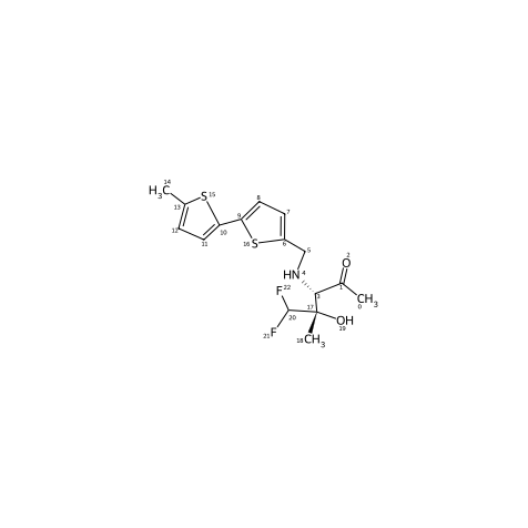 CC(=O)[C@@H](NCc1ccc(-c2ccc(C)s2)s1)[C@](C)(O)C(F)F